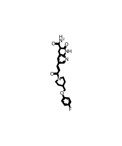 NC(=O)C1Cc2cc(/C=C/C(=O)N3CCC(COc4ccc(F)cc4)CC3)cnc2NC1=O